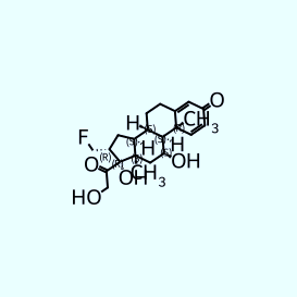 C[C@]12C=CC(=O)C=C1CC[C@@H]1[C@@H]2[C@@H](O)C[C@@]2(C)[C@H]1C[C@@H](CF)[C@]2(O)C(=O)CO